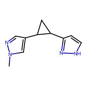 Cn1cc(C2CC2c2cc[nH]n2)cn1